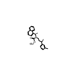 Cc1cccc(C(F)CCN(C(=O)OC(C)(C)C)[C@H](C)c2cccc3ccccc23)c1